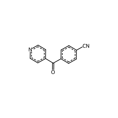 N#Cc1ccc(C(=O)c2ccncc2)cc1